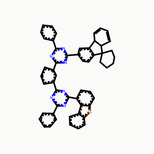 C1=CC2c3cc(-c4nc(-c5ccccc5)nc(-c5cccc(-c6nc(-c7ccccc7)nc(-c7cccc8sc9ccccc9c78)n6)c5)n4)ccc3C3(CCCCC3)C2C=C1